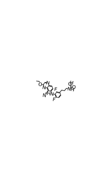 CCOc1cnc2ccc(Nc3c(F)ccc(CCCN[SH](=O)=O)c3F)c(C#N)c2n1